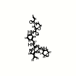 C=CC(=O)N1CCOC(C(=O)Nc2cccc(CNc3nc(NC4CCOCC4)nc4c(C(C)C)cnn34)c2)C1